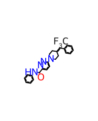 O=C(Nc1ccccc1)c1ccc(N2CCC(=Cc3ccccc3C(F)(F)F)CC2)nn1